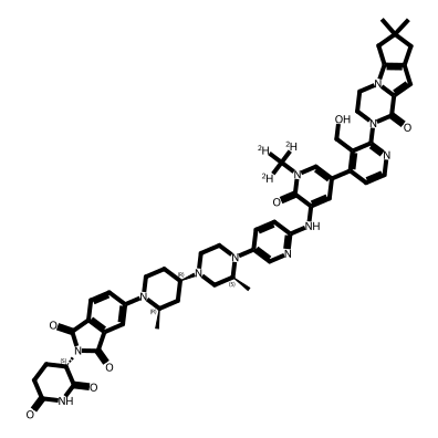 [2H]C([2H])([2H])n1cc(-c2ccnc(N3CCn4c(cc5c4CC(C)(C)C5)C3=O)c2CO)cc(Nc2ccc(N3CCN([C@@H]4CCN(c5ccc6c(c5)C(=O)N([C@H]5CCC(=O)NC5=O)C6=O)[C@H](C)C4)C[C@@H]3C)cn2)c1=O